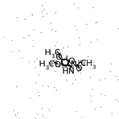 CCOc1cc2on(C(=O)CC)c(=N)c2cc1OCC